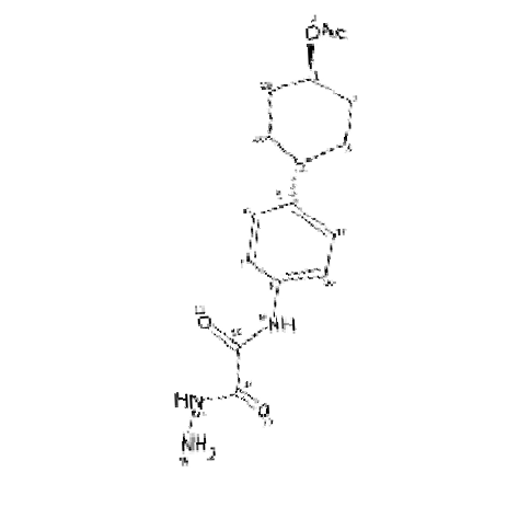 CC(=O)O[C@H]1CC[C@H](c2ccc(NC(=O)C(=O)NN)cc2)CC1